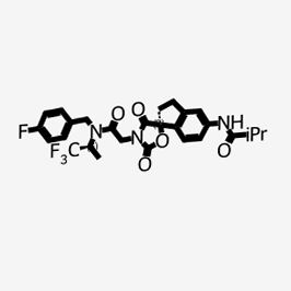 CC(C)C(=O)Nc1ccc2c(c1)CC[C@@]21OC(=O)N(CC(=O)N(Cc2ccc(F)cc2)[C@@H](C)C(F)(F)F)C1=O